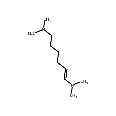 CN(C)C=CCCCCN(C)C